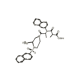 CCCCC1CN(C(=O)C(C)N(C(=O)C(C)C(=O)OC)c2ccc3ccccc3c2)CCN1S(=O)(=O)c1ccc2ccccc2c1